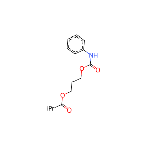 CC(C)C(=O)OCCCOC(=O)Nc1ccccc1